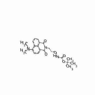 CN(C)c1ccc2c3c(cccc13)C(=O)N(CCONC(=O)OC(C)(C)C)C2=O